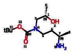 C[C@H](O)CN(CC[C@@H](C)N)C(=O)OC(C)(C)C